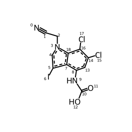 N#CCn1cc(I)c2c(NC(=O)O)cc(Cl)c(Cl)c21